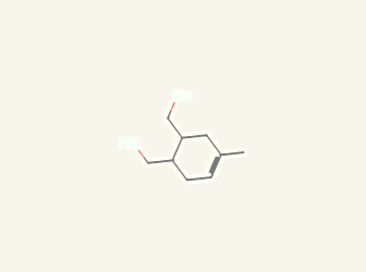 CC1=CCC(CO)C(CO)C1